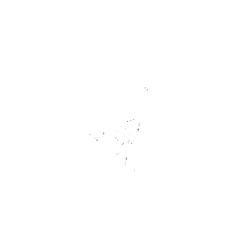 CC(C)NC(=O)Cn1c(-c2cccc(Cl)c2)nc2ccc([C@H]3C[C@@H](CN4CC5(COC5)C4)C3)cc2c1=O